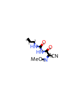 C=CCNC(=O)NC(=O)C(C#N)=NOC